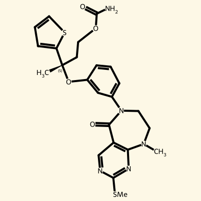 CSc1ncc2c(n1)N(C)CCN(c1cccc(O[C@@](C)(CCOC(N)=O)c3cccs3)c1)C2=O